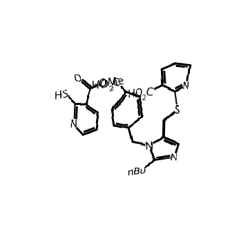 CCCCc1ncc(CSc2ncccc2C(=O)O)n1Cc1ccc(C(=O)O)cc1.COC(=O)c1cccnc1S